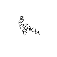 B=C1C(C(=O)NCc2cnc(C)cn2)=C2Sc3ccccc3N2c2nc(N3CCCN(C)CC3)ccc21